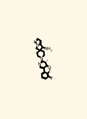 C[C@@H]1C(=O)C(c2cccc(F)c2F)=CN=C1N1CCC2(CC1)Cn1nccc1C2N